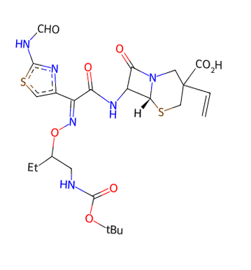 C=CC1(C(=O)O)CS[C@@H]2C(NC(=O)C(=NOC(CC)CNC(=O)OC(C)(C)C)c3csc(NC=O)n3)C(=O)N2C1